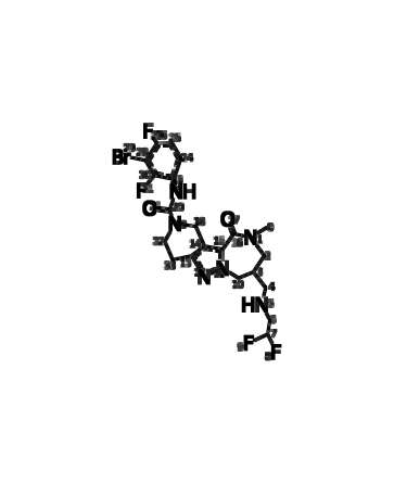 CN1CC(CNCC(F)F)Cn2nc3c(c2C1=O)CN(C(=O)Nc1ccc(F)c(Br)c1F)CC3